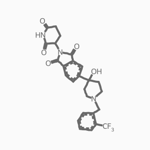 O=C1CCC(N2C(=O)c3ccc(C4(O)CCN(Cc5ccccc5C(F)(F)F)CC4)cc3C2=O)C(=O)N1